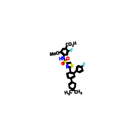 COc1cc(C(=O)O)c(F)cc1NS(=O)(=O)c1csc(-c2ccc(C3=CCC(C)(C)CC3)cc2-c2ccc(F)cc2)n1